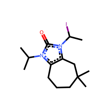 CC(C)n1c2c(n(C(C)I)c1=O)CC(C)(C)CCC2